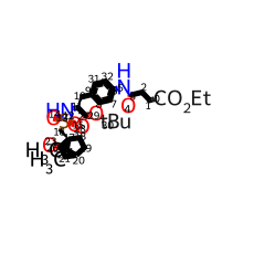 CCOC(=O)CCC(=O)Nc1ccc(C[C@H](NS(=O)(=O)C[C@]23CCC(CC2=O)C3(C)C)C(=O)OC(C)(C)C)cc1